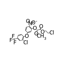 COC(Oc1cc(Oc2ccc(C(F)(F)F)cc2Cl)ccc1[N+](=O)[O-])C(=O)OCCCl